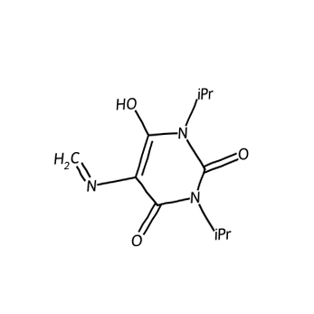 C=Nc1c(O)n(C(C)C)c(=O)n(C(C)C)c1=O